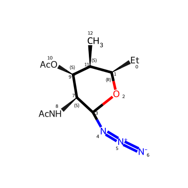 CC[C@H]1OC(N=[N+]=[N-])[C@@H](NC(C)=O)[C@@H](OC(C)=O)[C@H]1C